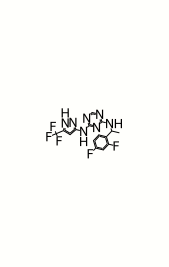 CC(Nc1ncnc(Nc2cc(C(F)(F)F)[nH]n2)n1)c1ccc(F)cc1F